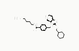 CCCCCNC(=O)c1ccc(Cn2c(SCC3CCCCC3)nc3ccncc32)cc1